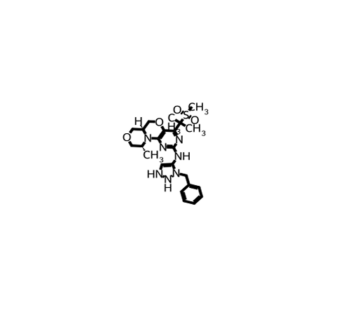 C[C@@H]1COC[C@H]2COc3c(nc(NC4=CNNN4Cc4ccccc4)nc3C(C)(C)S(C)(=O)=O)N21